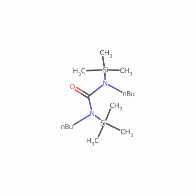 CCCCN(C(=O)N(CCCC)[Si](C)(C)C)[Si](C)(C)C